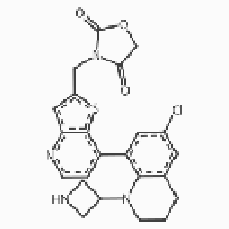 O=C1COC(=O)N1Cc1cc2nccc(-c3cc(Cl)cc4c3N(C3CNC3)CCC4)c2s1